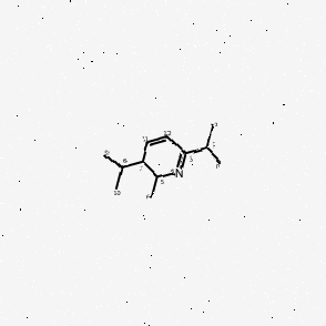 CC(C)C1=NC(C)C(C(C)C)C=C1